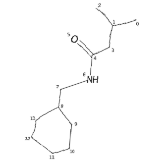 CC(C)CC(=O)NCC1CCCCC1